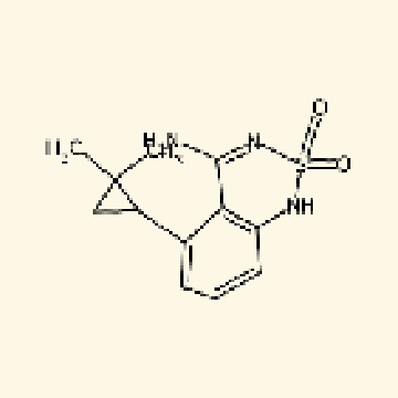 CC1(C)CC1c1cccc2c1C(N)=NS(=O)(=O)N2